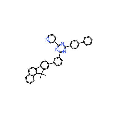 CC1(C)c2cc(-c3cccc(-c4nc(-c5ccc(-c6ccccc6)cc5)nc(-c5cccnc5)n4)c3)ccc2-c2ccc3ccccc3c21